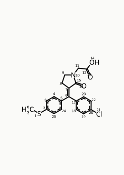 CSc1ccc(C(=C2CCN(CC(=O)O)C2=O)c2ccc(Cl)cc2)cc1